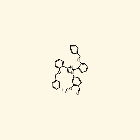 COc1cc(-n2cc(-c3ccccc3OCc3ccccc3)nc2-c2ccccc2OCc2ccccc2)ccc1C=O